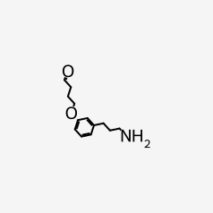 NCCCc1cccc(OCCCC=O)c1